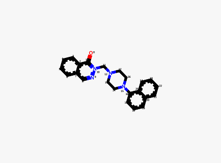 O=c1c2ccccc2cnn1CN1CCN(c2cccc3ccccc23)CC1